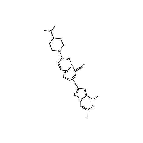 Cc1cn2nc(C3=C\C(=O)N4C=C(N5CCC(N(C)C)CC5)C=C\C4=C/C=C/3)cc2c(C)n1